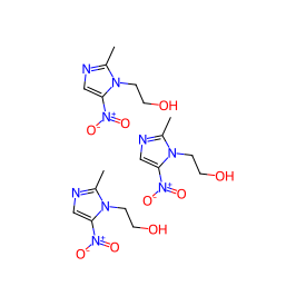 Cc1ncc([N+](=O)[O-])n1CCO.Cc1ncc([N+](=O)[O-])n1CCO.Cc1ncc([N+](=O)[O-])n1CCO